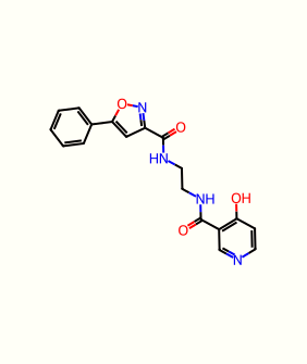 O=C(NCCNC(=O)c1cnccc1O)c1cc(-c2ccccc2)on1